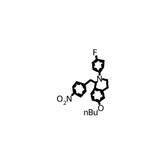 CCCCOc1ccc2c(c1)CCN(c1ccc(F)cc1)C2Cc1ccc([N+](=O)[O-])cc1